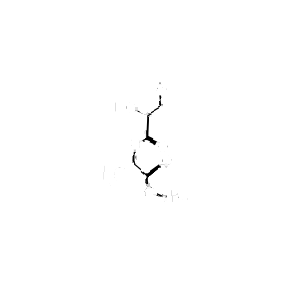 CC(=O)C[C@H](O)C(=O)O[C@@H](C)C(=O)OC(C)(C)C